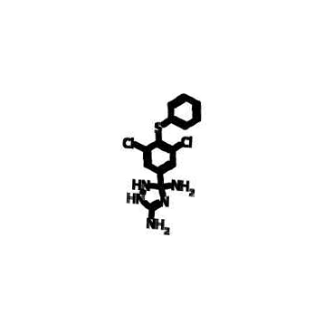 NC1=NC(N)(c2cc(Cl)c(Sc3ccccc3)c(Cl)c2)NN1